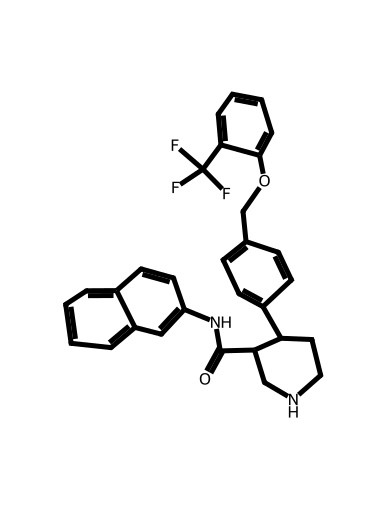 O=C(Nc1ccc2ccccc2c1)C1CNCCC1c1ccc(COc2ccccc2C(F)(F)F)cc1